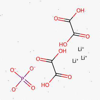 O=C(O)C(=O)O.O=C(O)C(=O)O.O=P([O-])([O-])[O-].[Li+].[Li+].[Li+]